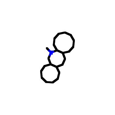 CN1CC2CCCCCCCC2CCC2CCCCCCCCC21